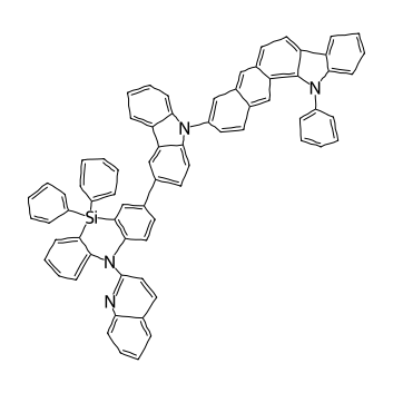 c1ccc(-n2c3ccccc3c3ccc4cc5cc(-n6c7ccccc7c7cc(-c8ccc9c(c8)[Si](c8ccccc8)(c8ccccc8)c8ccccc8N9c8ccc9ccccc9n8)ccc76)ccc5cc4c32)cc1